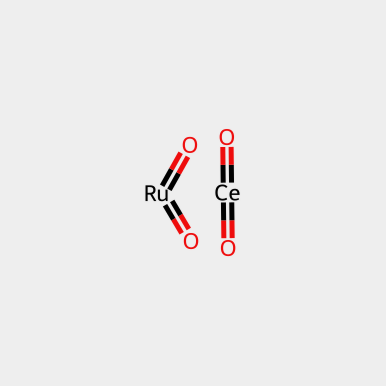 [O]=[Ce]=[O].[O]=[Ru]=[O]